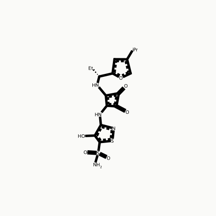 CC[C@@H](Nc1c(Nc2nsc(S(N)(=O)=O)c2O)c(=O)c1=O)c1cc(C(C)C)co1